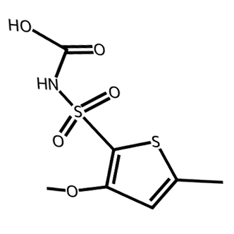 COc1cc(C)sc1S(=O)(=O)NC(=O)O